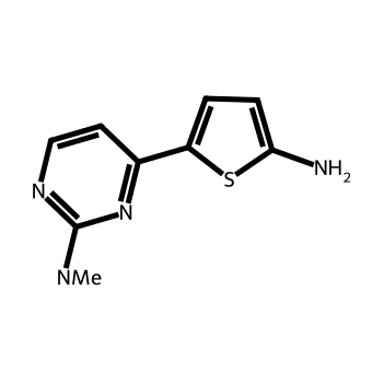 CNc1nccc(-c2ccc(N)s2)n1